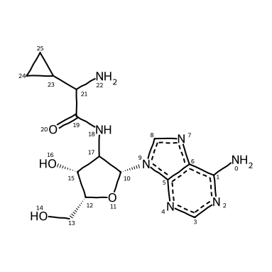 Nc1ncnc2c1ncn2[C@@H]1O[C@H](CO)[C@H](O)C1NC(=O)C(N)C1CC1